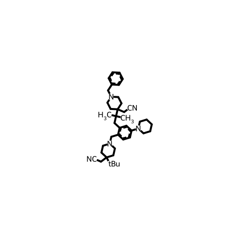 CC(C)(C)C1(CC#N)CCN(Cc2ccc(N3CCCCC3)cc2CC(C)(C)C2(CC#N)CCN(Cc3ccccc3)CC2)CC1